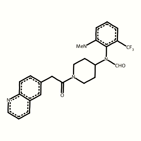 CNc1cccc(C(F)(F)F)c1N(C=O)C1CCN(C(=O)Cc2ccc3ncccc3c2)CC1